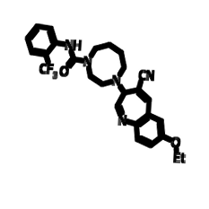 CCOc1ccc2c(c1)C=C(C#N)C(N1CCCCN(C(=O)Nc3ccccc3C(F)(F)F)CC1)C=N2